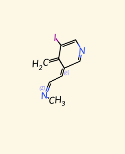 C=c1c(I)cnc/c1=C/C=N\C